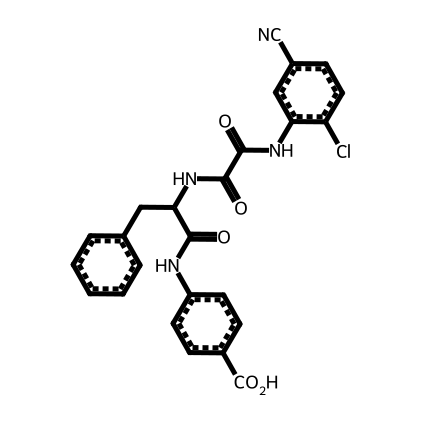 N#Cc1ccc(Cl)c(NC(=O)C(=O)NC(Cc2ccccc2)C(=O)Nc2ccc(C(=O)O)cc2)c1